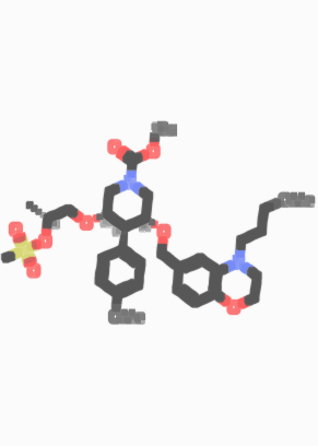 COCCCN1CCOc2ccc(CO[C@H]3CN(C(=O)OC(C)(C)C)C[C@@H](OC[C@@H](C)OS(C)(=O)=O)[C@@H]3c3ccc(OC)cc3)cc21